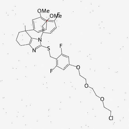 COc1ccc(C2(C)CCCc3nc(SCc4c(F)cc(OCCOCCOCCCl)cc4F)n(-c4ccc(F)cc4)c32)cc1OC